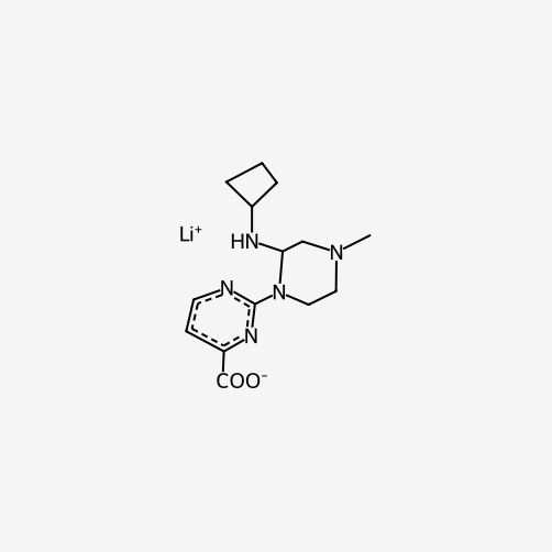 CN1CCN(c2nccc(C(=O)[O-])n2)C(NC2CCC2)C1.[Li+]